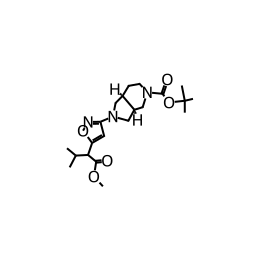 COC(=O)C(c1cc(N2C[C@H]3CN(C(=O)OC(C)(C)C)CC[C@H]3C2)no1)C(C)C